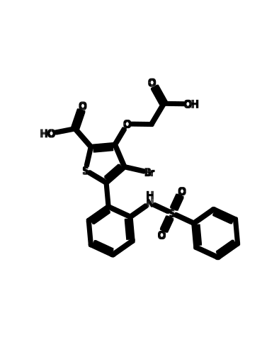 O=C(O)COc1c(C(=O)O)sc(-c2ccccc2NS(=O)(=O)c2ccccc2)c1Br